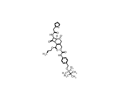 C=CCOC(=O)C1=C(COC(=O)Nc2ccc(CO[Si](C)(C)C(C)(C)C)cc2)C[S+]([O-])[C@@H]2[C@H](NC(=O)Cc3cccs3)C(=O)N12